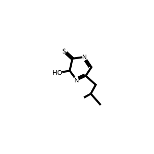 CC(C)CC1=NC(O)C(=S)N=C1